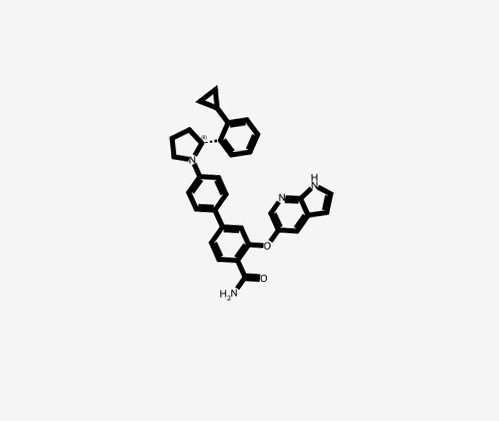 NC(=O)c1ccc(-c2ccc(N3CCC[C@@H]3c3ccccc3C3CC3)cc2)cc1Oc1cnc2[nH]ccc2c1